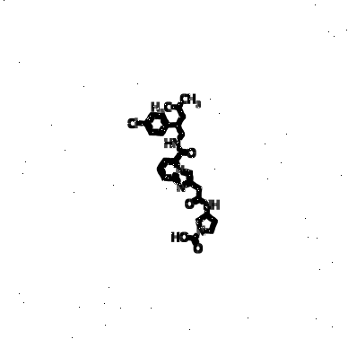 CC(C)CC(CNC(=O)c1cccc2nc(CC(=O)NC3CCN(C(=O)O)C3)cn12)c1ccc(Cl)cc1